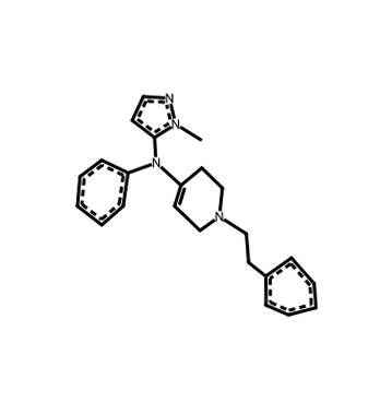 Cn1nccc1N(C1=CCN(CCc2ccccc2)CC1)c1ccccc1